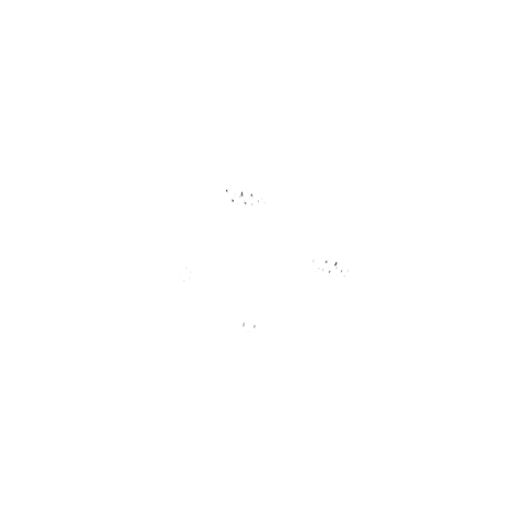 CNC1OCOC1SC